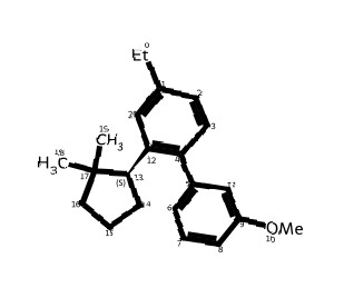 CCc1ccc(-c2cccc(OC)c2)c([C@H]2CCCC2(C)C)c1